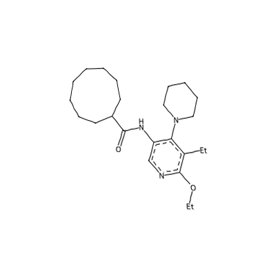 CCOc1ncc(NC(=O)C2CCCCCCCC2)c(N2CCCCC2)c1CC